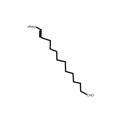 CCCCC/C=C/CCCCCCCCCC[C]=O